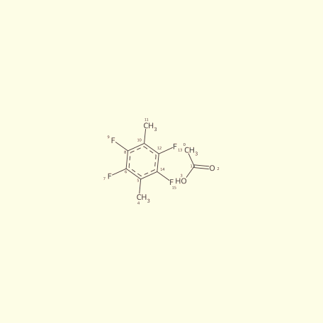 CC(=O)O.Cc1c(F)c(F)c(C)c(F)c1F